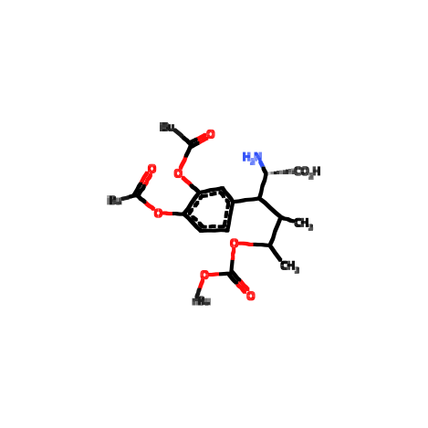 CCCCOC(=O)OC(C)C(C)C(c1ccc(OC(=O)C(C)CC)c(OC(=O)C(C)CC)c1)[C@H](N)C(=O)O